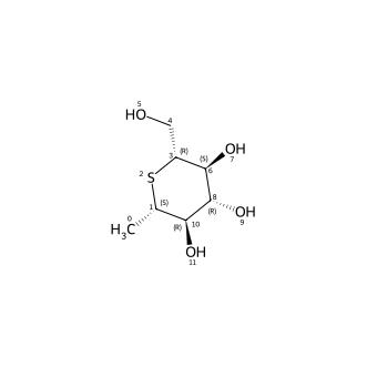 C[C@@H]1S[C@H](CO)[C@@H](O)[C@H](O)[C@H]1O